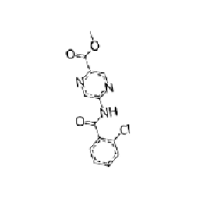 COC(=O)c1cnc(NC(=O)c2ccccc2Cl)cn1